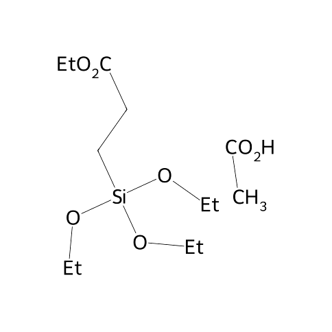 CC(=O)O.CCOC(=O)CC[Si](OCC)(OCC)OCC